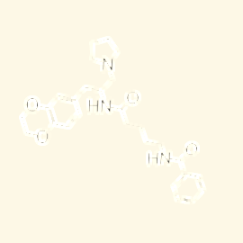 O=C(CCCCNC(=O)c1ccccc1)NC(Cc1ccc2c(c1)OCCO2)CN1CCCC1